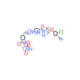 CC1(C)C(NC(=O)c2ccc(N3CCN(Cc4ccc5c(c4)C(=O)N(C4CCC(=O)NC4=O)C5=O)CC3)nn2)C(C)(C)C1Oc1ccc(C#N)c(Cl)c1